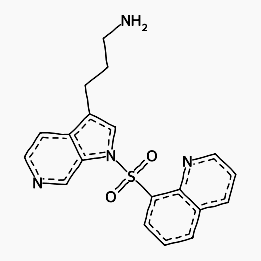 NCCCc1cn(S(=O)(=O)c2cccc3cccnc23)c2cnccc12